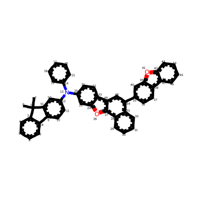 CC1(C)c2ccccc2-c2ccc(N(c3ccccc3)c3ccc4c(c3)oc3c5ccccc5c(-c5ccc6c(c5)oc5ccccc56)cc43)cc21